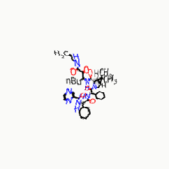 C=CCNC(=O)C(=O)C(CCCC)NC(=O)[C@@H]1[C@@H]2[C@H](CN1C(=O)[C@@H](NC(=O)[C@@H](NC(=O)c1cnccn1)C1CCCCC1)C1CCCCC1)C2(C)C